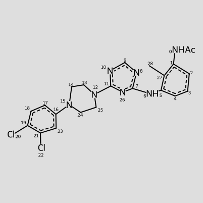 CC(=O)Nc1cccc(Nc2ncnc(N3CCN(c4ccc(Cl)c(Cl)c4)CC3)n2)c1C